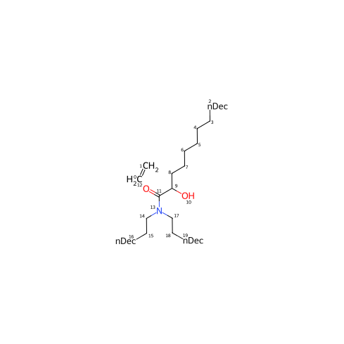 C=C.CCCCCCCCCCCCCCCCC(O)C(=O)N(CCCCCCCCCCCC)CCCCCCCCCCCC